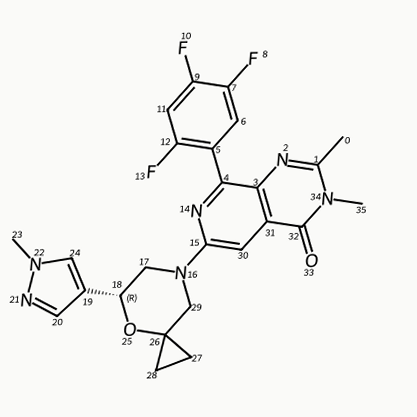 Cc1nc2c(-c3cc(F)c(F)cc3F)nc(N3C[C@@H](c4cnn(C)c4)OC4(CC4)C3)cc2c(=O)n1C